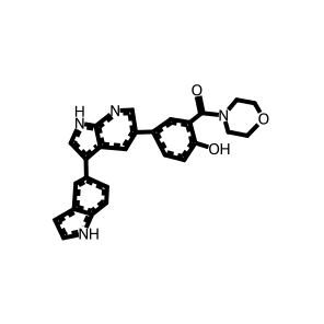 O=C(c1cc(-c2cnc3[nH]cc(-c4ccc5[nH]ccc5c4)c3c2)ccc1O)N1CCOCC1